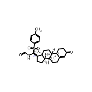 Cc1ccc(S(=O)(=O)/C(NC=O)=C2/CC[C@H]3[C@@H]4CCC5=CC(=O)CC[C@]5(C)[C@H]4CC[C@]23C)cc1